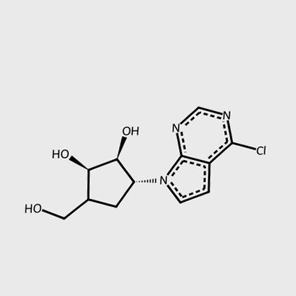 OCC1C[C@@H](n2ccc3c(Cl)ncnc32)[C@H](O)[C@@H]1O